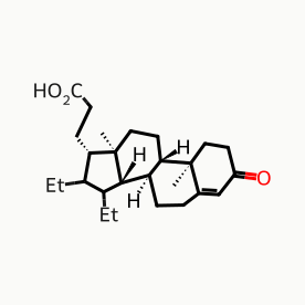 CCC1C(CC)[C@H]2[C@@H]3CCC4=CC(=O)CC[C@]4(C)[C@H]3CC[C@]2(C)[C@H]1CCC(=O)O